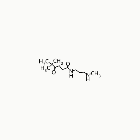 CNCCCNC(=O)CCC(=O)C(C)(C)C